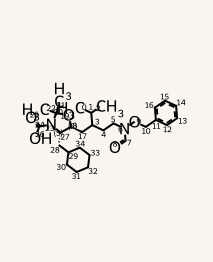 CC(C)C(CCN(C=O)OCc1ccccc1)C[C@@H]1OC(C)(C)N(C(=O)O)[C@H]1CC1CCCCC1